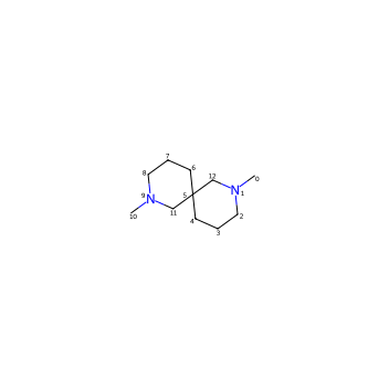 CN1CCCC2(CCCN(C)C2)C1